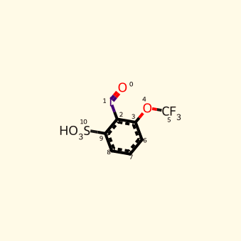 O=Ic1c(OC(F)(F)F)cccc1S(=O)(=O)O